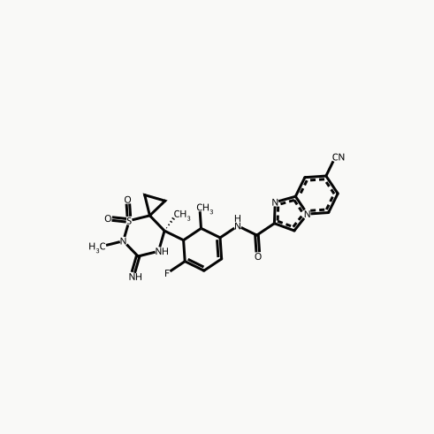 CC1C(NC(=O)c2cn3ccc(C#N)cc3n2)=CC=C(F)C1[C@@]1(C)NC(=N)N(C)S(=O)(=O)C12CC2